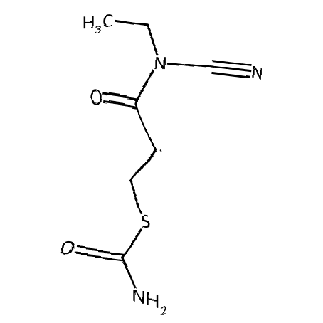 CCN(C#N)C(=O)[CH]CSC(N)=O